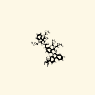 CCOC(=O)C(COC(=O)Cc1ccc(NC(=O)c2ccccc2-c2ccc(C(F)(F)F)cc2)c(C(=O)N(CC)CC)c1)(C(=O)OCC)c1ccccc1